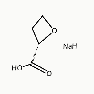 O=C(O)[C@@H]1CCO1.[NaH]